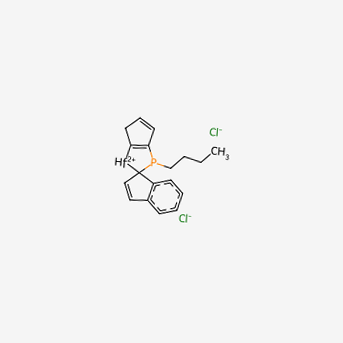 CCCCP1C2=[C](CC=C2)[Hf+2][C]12C=Cc1ccccc12.[Cl-].[Cl-]